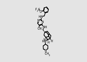 CN1CCC(N[C@@H]2[C@@H]3CC4C[C@H]2C[C@@](CNc2nc(NCc5ccccc5OC(F)(F)F)ncc2C#N)(C4)C3)CC1